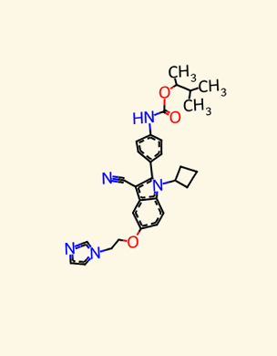 CC(C)C(C)OC(=O)Nc1ccc(-c2c(C#N)c3cc(OCCn4ccnc4)ccc3n2C2CCC2)cc1